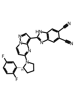 N#Cc1cc2nc(-c3cnn4ccc(N5CCC[C@@H]5c5cc(F)ccc5F)nc34)[nH]c2cc1C#N